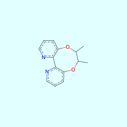 CC1Oc2cccnc2-c2ncccc2OC1C